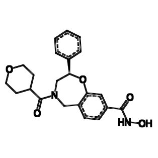 O=C(NO)c1ccc2c(c1)O[C@H](c1ccccc1)CN(C(=O)C1CCOCC1)C2